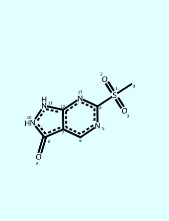 CS(=O)(=O)c1ncc2c(=O)[nH][nH]c2n1